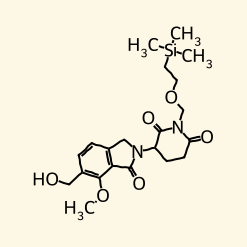 COc1c(CO)ccc2c1C(=O)N(C1CCC(=O)N(COCC[Si](C)(C)C)C1=O)C2